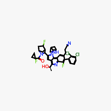 C[C@@H](O)c1nc2c(F)c(-c3cccc(Cl)c3Cl)c(CCC#N)cc2c2c1cc(C1C3CC(CC3F)N1C(=O)C1(F)CC1)n2C1C2CNC1C2